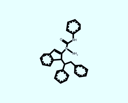 NN(C(=O)Nc1ccccc1)C1=Cc2ccccc2C1C(Cc1ccccc1)c1ccccc1